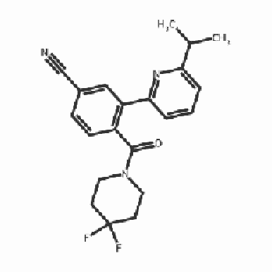 CC(C)c1cccc(-c2cc(C#N)ccc2C(=O)N2CCC(F)(F)CC2)n1